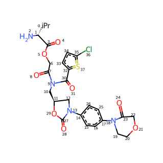 CC(C)[C@@H](N)C(=O)OCC(=O)N(C[C@H]1CN(c2ccc(N3CCOCC3=O)cc2)C(=O)O1)C(=O)c1ccc(Cl)s1